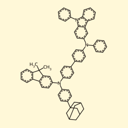 CC1(C)c2ccccc2-c2ccc(N(c3ccc(-c4ccc(N(c5ccccc5)c5ccc6c(c5)c5ccccc5n6-c5ccccc5)cc4)cc3)c3ccc(C45CC6CC(CC(C6)C4)C5)cc3)cc21